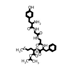 CSCCC(NC(=O)C(Cc1ccccc1)NC(=O)CNC(=O)CNC(=O)C(N)Cc1ccc(O)cc1)C(=O)OC(C)C